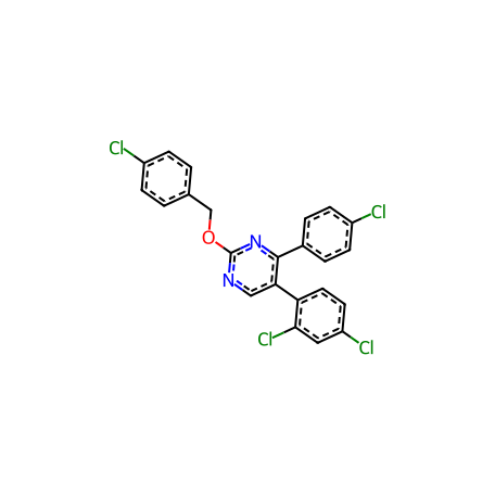 Clc1ccc(COc2ncc(-c3ccc(Cl)cc3Cl)c(-c3ccc(Cl)cc3)n2)cc1